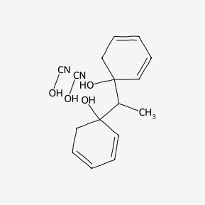 CC(C1(O)C=CC=CC1)C1(O)C=CC=CC1.N#CO.N#CO